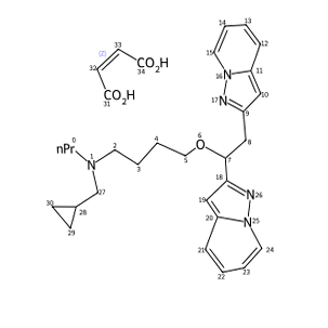 CCCN(CCCCOC(Cc1cc2ccccn2n1)c1cc2ccccn2n1)CC1CC1.O=C(O)/C=C\C(=O)O